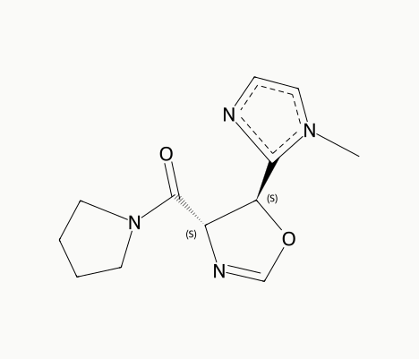 Cn1ccnc1[C@H]1OC=N[C@@H]1C(=O)N1CCCC1